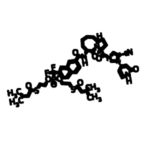 CC(C)CC(=O)SCCOP(=O)(OCCSC(=O)CC(C)C)C(F)(F)c1ccc2ccc(C(=O)NC3CCCC[C@H]4CC[C@@H](C(=O)N5C[C@@H](C#N)[C@H](c6cc[nH]c(=O)c6)C5)N4C3=O)cc2c1